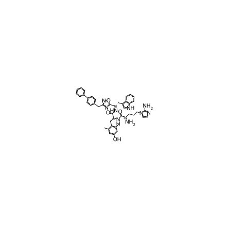 Cc1cc(O)cc(C)c1C[C@H](NC(=O)[C@H](N)CCCn1ccnc1N)C(=O)N[C@@H](Cc1c[nH]c2ccccc12)c1nc(Cc2ccc(-c3ccccc3)cc2)no1